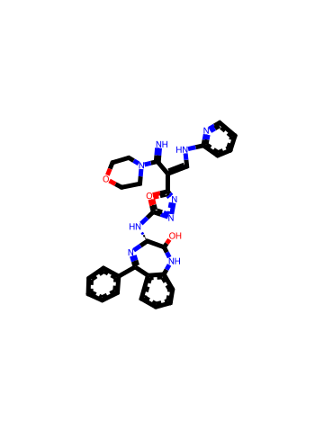 N=C(/C(=C\Nc1ccccn1)c1nnc(N[C@H]2N=C(c3ccccc3)c3ccccc3NC2O)o1)N1CCOCC1